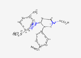 COc1ccc(C2CN(C(=O)O)CCC2N)cc1.Cc1ccc(S(=O)(=O)O)cc1